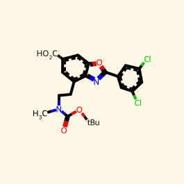 CN(CCc1cc(C(=O)O)cc2oc(-c3cc(Cl)cc(Cl)c3)nc12)C(=O)OC(C)(C)C